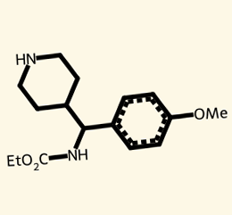 CCOC(=O)NC(c1ccc(OC)cc1)C1CCNCC1